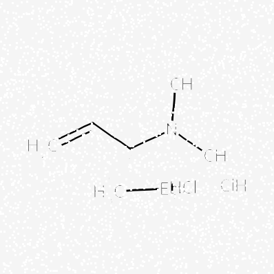 C=CCN(C)C.CCC.Cl.Cl